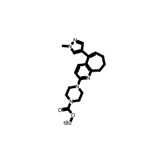 Cn1cc(C2=CCCCc3nc(N4CCN(C(=O)OC(C)(C)C)CC4)ccc32)cn1